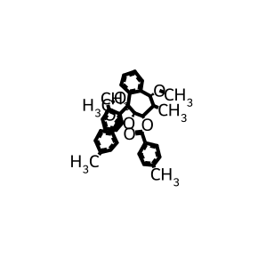 CO[C@@H]1c2ccccc2[C@@](OC)(c2ccccc2C)[C@H](OC(=O)c2ccc(C)cc2)[C@H](OC(=O)c2ccc(C)cc2)C1C